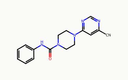 N#Cc1cc(N2CCN(C(=O)Nc3ccccc3)CC2)ncn1